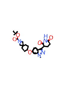 Cn1nc(C2CCC(=O)NC2=O)c2ccc(OC3CCC4(CC3)CN(C(=O)OC(C)(C)C)C4)cc21